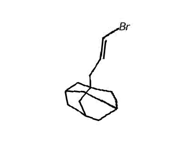 BrC=CCC12CC3CC(CC(C3)C1)C2